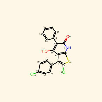 O=c1[nH]c2sc(Cl)c(-c3ccc(Cl)cc3)c2c(O)c1-c1ccccc1